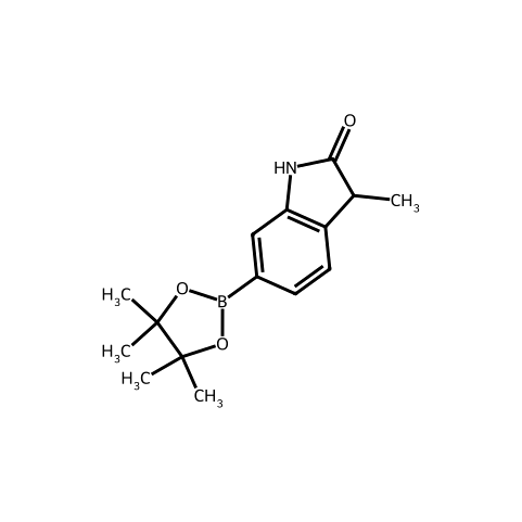 CC1C(=O)Nc2cc(B3OC(C)(C)C(C)(C)O3)ccc21